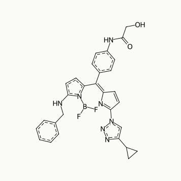 O=C(CO)Nc1ccc(/C(=C2\C=CC(n3cc(C4CC4)nn3)=N2)c2ccc(NCc3ccccc3)n2B(F)F)cc1